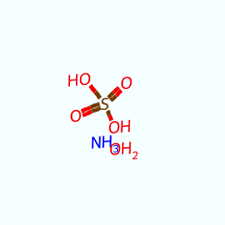 N.O.O=S(=O)(O)O